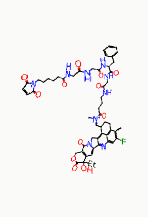 CC[C@@]1(O)C(=O)OCc2c1cc1n(c2=O)Cc2c-1nc1cc(F)c(C)c3c1c2C(/C=[N+](/C)C(=O)CCCNC(=O)CNC(=O)[C@H](Cc1ccccc1)NC(=O)CNC(=O)CNC(=O)CCCCCN1C(=O)C=CC1=O)CC3